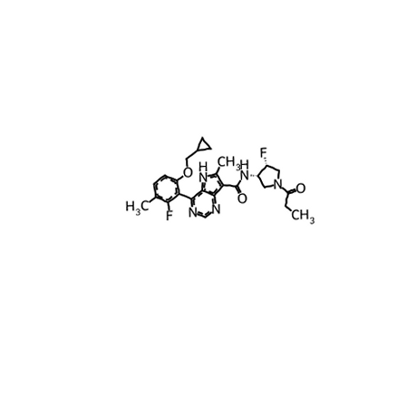 CCC(=O)N1C[C@@H](F)[C@@H](NC(=O)c2c(C)[nH]c3c(-c4c(OCC5CC5)ccc(C)c4F)ncnc23)C1